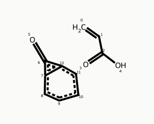 C=CC(=O)O.O=c1c2ccccc12